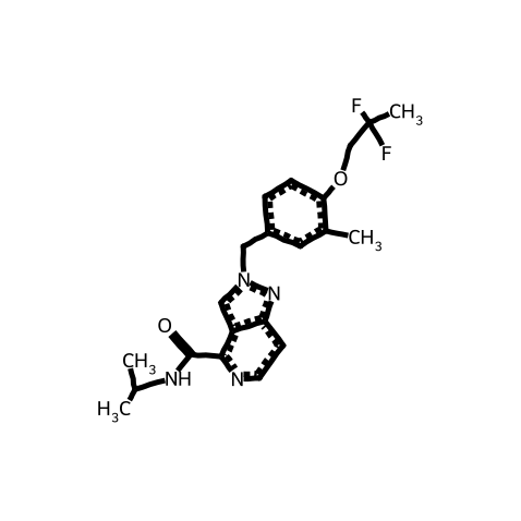 Cc1cc(Cn2cc3c(C(=O)NC(C)C)nccc3n2)ccc1OCC(C)(F)F